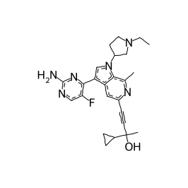 CCN1CCC(n2cc(-c3nc(N)ncc3F)c3cc(C#CC(C)(O)C4CC4)nc(C)c32)C1